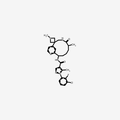 Cc1c(C(=O)NC2CCCC(C)C(=O)NCC3(CN(C)C3)c3ccnc2c3)cnn1-c1cccc(Cl)c1F